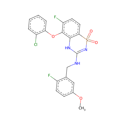 COc1ccc(F)c(CNC2=NS(=O)(=O)c3ccc(F)c(Oc4ccccc4Cl)c3N2)c1